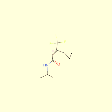 CC(C)NC(=O)/C=C(\C1CC1)C(F)(F)F